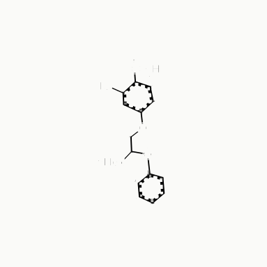 CCCCCCC(COc1ccc(C(=O)O)c(O)c1)Oc1ccccc1